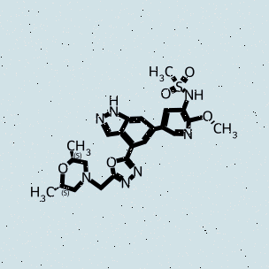 COc1ncc(-c2cc(-c3nnc(CN4C[C@H](C)O[C@@H](C)C4)o3)c3cn[nH]c3c2)cc1NS(C)(=O)=O